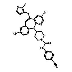 Cc1nccn1CC1=Cc2cc(Cl)ccc2C(C2CCN(C(=O)Nc3ccc(C#N)cc3)CC2)c2ncc(Br)cc21